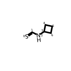 S=CNC1CCC1